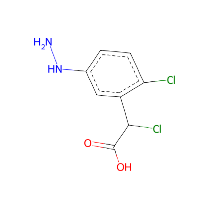 NNc1ccc(Cl)c(C(Cl)C(=O)O)c1